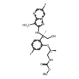 C[C@@H](CNC(=O)OC(C)(C)C)Oc1cc(F)ccc1[C@](C)(CO)Nc1nn2cc(F)cnc2c1C(=O)O